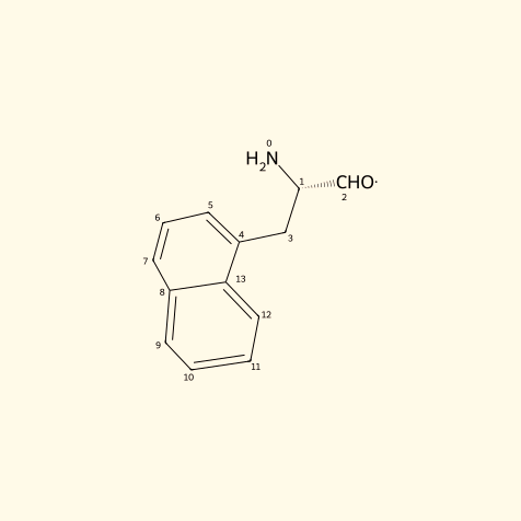 N[C@H]([C]=O)Cc1cccc2ccccc12